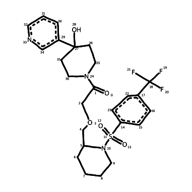 O=C(COCC1CCCCN1S(=O)(=O)c1ccc(C(F)(F)F)cc1)N1CCC(O)(c2cccnc2)CC1